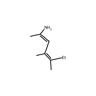 CC/C(C)=C(C)\C=C(/C)N